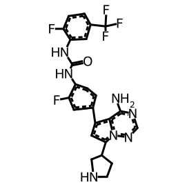 Nc1ncnn2c(C3CCNC3)cc(-c3ccc(NC(=O)Nc4cc(C(F)(F)F)ccc4F)c(F)c3)c12